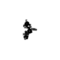 COc1ccc(S(=O)(=O)NC2CCOC2)cc1C(=O)Nc1c(F)cc(F)cc1F